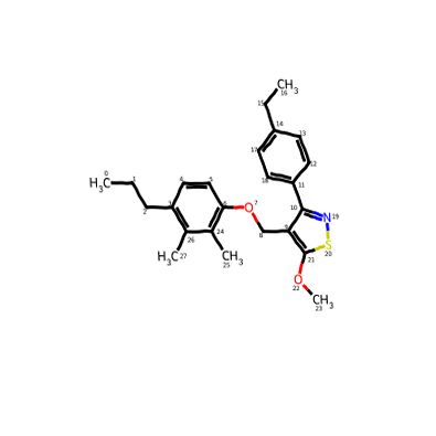 CCCc1ccc(OCc2c(-c3ccc(CC)cc3)nsc2OC)c(C)c1C